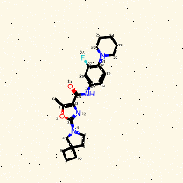 Cc1oc(N2CCC3(CCC3)C2)nc1C(=O)Nc1ccc(N2CCCCC2)c(F)c1